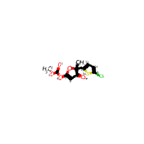 COC(=O)OC1=CC(=O)C(C)(c2ccc(Cl)s2)O1